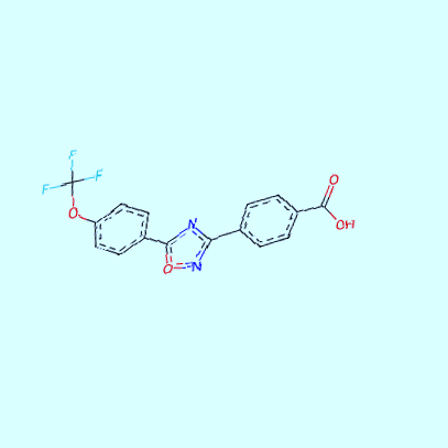 O=C(O)c1ccc(-c2noc(-c3ccc(OC(F)(F)F)cc3)n2)cc1